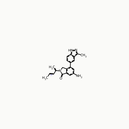 C=C(/C=C/C)N1Cc2c(cc(N)cc2-c2ccc3[nH]nc(C)c3c2)C1=O